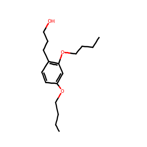 CCCCOc1ccc(CCCO)c(OCCCC)c1